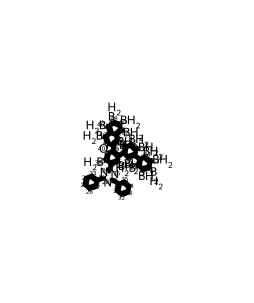 Bc1c(B)c(B)c(-c2c(B)c(B)c(B)c(-c3c(B)c(-c4nc(-c5ccccc5)nc(-c5ccccc5)n4)c(B)c4oc5c(B)c6c(B)c(B)c(B)c(B)c6c(B)c5c34)c2B)c(B)c1B